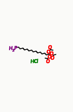 CC(=O)OC(CCCCCCCCCCCCCCP)(OC(C)=O)OC(C)=O.Cl